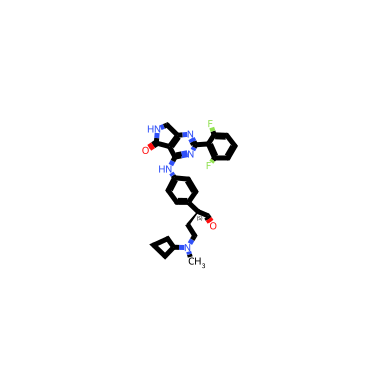 CN(CC[C@H](C=O)c1ccc(Nc2nc(-c3c(F)cccc3F)nc3c2C(=O)NC3)cc1)C1CCC1